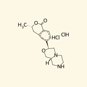 C[C@H]1Cc2cc([C@H]3CN4CCNC[C@@H]4CO3)ccc2C(=O)O1.Cl.Cl